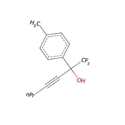 CCCC#CC(O)(c1ccc(C)cc1)C(F)(F)F